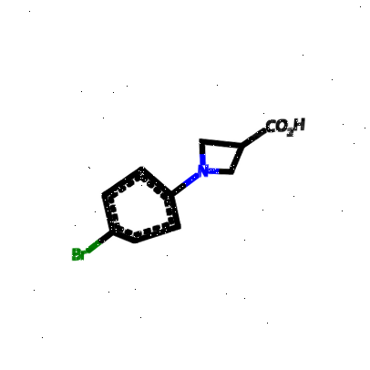 O=C(O)C1CN(c2ccc(Br)cc2)C1